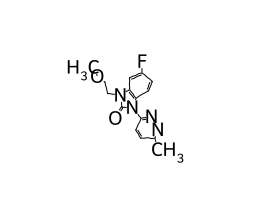 COCCn1c(=O)n(-c2ccc(C)nn2)c2ccc(F)cc21